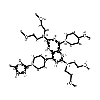 COCCN(CCOC)c1nc(N2CCN(c3nnc(C)o3)CC2)c2nc(N(CCOC)CCOC)nc(N3CCC(OC)CC3)c2n1